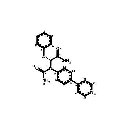 NC(=O)[C@@H](Cc1ccccc1)N(C(N)=O)c1ccc(-c2ccncc2)cc1